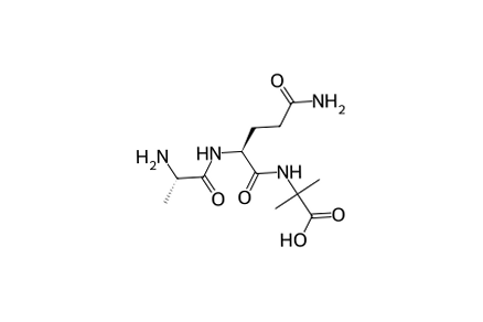 C[C@H](N)C(=O)N[C@@H](CCC(N)=O)C(=O)NC(C)(C)C(=O)O